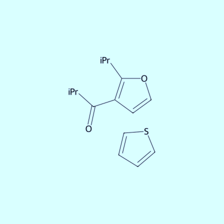 CC(C)C(=O)c1ccoc1C(C)C.c1ccsc1